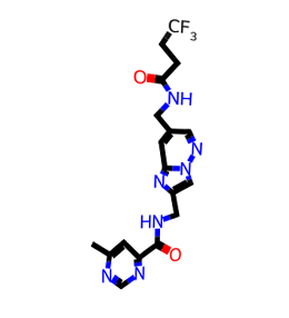 Cc1cc(C(=O)NCc2cn3ncc(CNC(=O)CCC(F)(F)F)cc3n2)ncn1